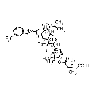 C=C(C)[C@@H]1CC[C@]2(CC(=O)NCc3cccc(C(F)(F)F)c3)CC[C@]3(C)[C@H](CC[C@@H]4[C@@]5(C)CC[C@H](OC(=O)CC(C)(C)CC(=O)O)C(C)(C)[C@@H]5CC[C@]43C)[C@@H]12